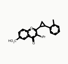 CCCc1c(C2CC2c2ccccc2C)oc2ccc(C(=O)O)cc2c1=O